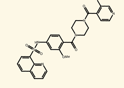 COc1cc(NS(=O)(=O)c2cccc3cccnc23)ccc1C(=O)N1CCN(C(=O)c2ccncc2F)CC1